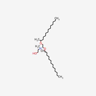 CCCCCCCCCCCCCCOC(COC(C)CCCCCCCCCCCC)[N+](C)(C)CCO